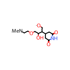 CNCCOCC(O)C(C[O])C1CC(=O)NC(=O)C1